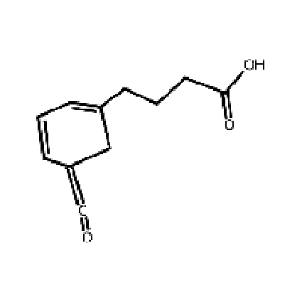 O=C=C1C=CC=C(CCCC(=O)O)C1